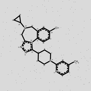 Cc1ccnc(N2CCC(c3nnc4n3-c3ccc(Cl)cc3CN(C3CC3)C4)CC2)c1